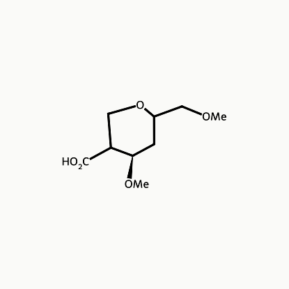 COCC1C[C@@H](OC)C(C(=O)O)CO1